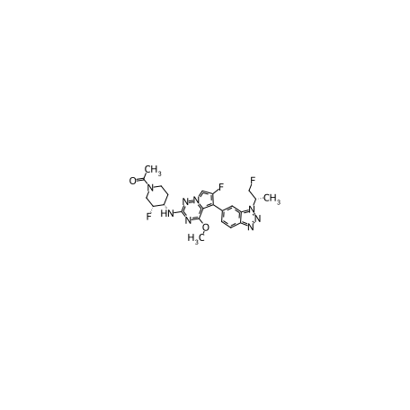 COc1nc(N[C@H]2CCN(C(C)=O)C[C@H]2F)nn2cc(F)c(-c3ccc4nnn([C@@H](C)CF)c4c3)c12